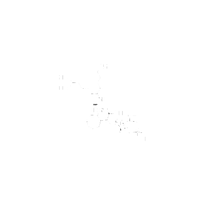 CCCCCC(CCCCC(C)C)NC(=O)NC1CCCCCC1C(CNC(=O)C1OC(C)(C)OCC1(C)C)C(=O)O